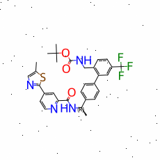 Cc1cnc(-c2ccnc(C(=O)N[C@H](C)c3ccc(-c4cc(C(F)(F)F)ccc4CNC(=O)OC(C)(C)C)cc3)c2)s1